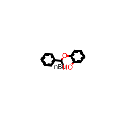 CCCCC(Oc1ccccc1O)c1ccccc1